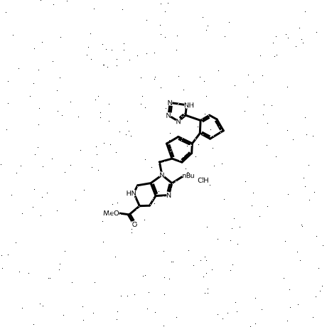 CCCCc1nc2c(n1Cc1ccc(-c3ccccc3-c3nnn[nH]3)cc1)CNC(C(=O)OC)C2.Cl